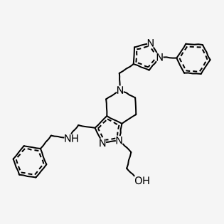 OCCn1nc(CNCc2ccccc2)c2c1CCN(Cc1cnn(-c3ccccc3)c1)C2